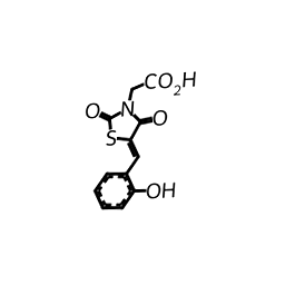 O=C(O)CN1C(=O)S/C(=C\c2ccccc2O)C1=O